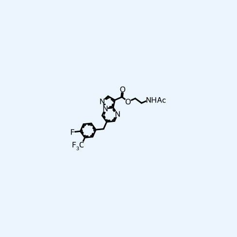 CC(=O)NCCOC(=O)c1cnn2cc(Cc3ccc(F)c(C(F)(F)F)c3)cnc12